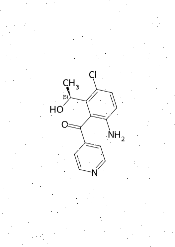 C[C@H](O)c1c(Cl)ccc(N)c1C(=O)c1ccncc1